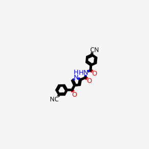 N#Cc1ccc(C(=O)NC(=O)c2cc(C(=O)c3cccc(C#N)c3)c[nH]2)cc1